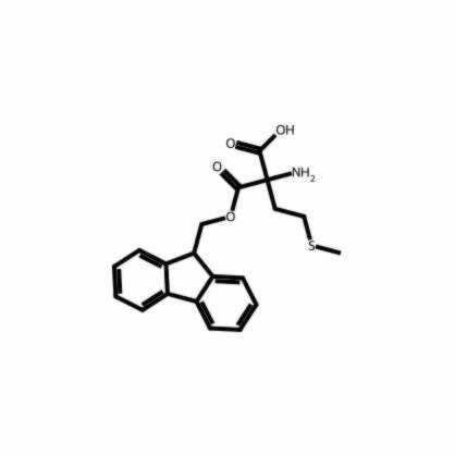 CSCCC(N)(C(=O)O)C(=O)OCC1c2ccccc2-c2ccccc21